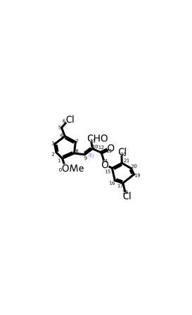 COc1ccc(CCl)cc1/C=C(\C=O)C(=O)Oc1cc(Cl)ccc1Cl